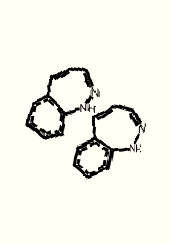 C1=Cc2ccccc2NN=C1.C1=Cc2ccccc2NN=C1